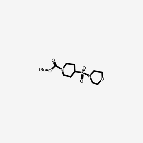 CC(C)(C)OC(=O)N1CCC(S(=O)(=O)N2CCOCC2)CC1